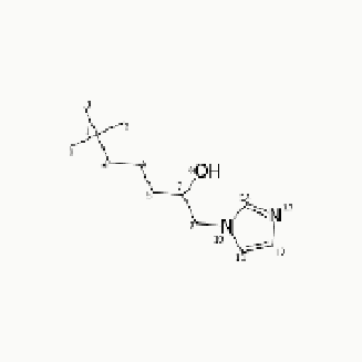 CC(C)(C)CCCC(O)Cn1ccnc1